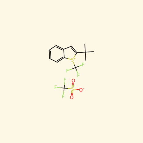 CC(C)(C)c1cc2ccccc2[s+]1C(F)(F)F.O=S(=O)([O-])C(F)(F)F